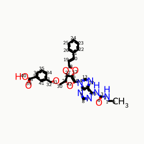 CCNC(=O)Nc1ncnc2c1ncn2C1=C2OC(C=Cc3ccccc3)OC2C(COCc2cccc(C(=O)O)c2)O1